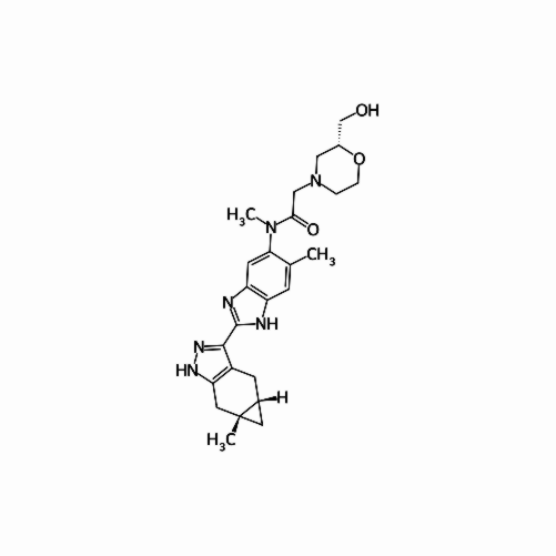 Cc1cc2[nH]c(-c3n[nH]c4c3C[C@@H]3C[C@]3(C)C4)nc2cc1N(C)C(=O)CN1CCO[C@@H](CO)C1